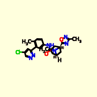 Cc1noc([C@]23C[C@H](C)C[C@H](C2)N3C(=O)Nc2ccc(C)c(-c3cc(Cl)cnn3)c2)n1